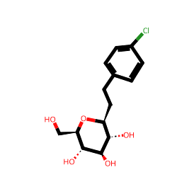 OC[C@H]1O[C@@H](CCc2ccc(Cl)cc2)[C@H](O)[C@@H](O)[C@@H]1O